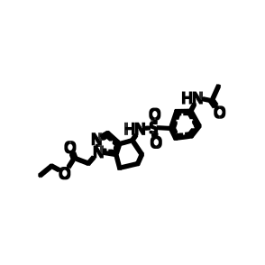 CCOC(=O)Cn1ncc2c1CCCC2NS(=O)(=O)c1cccc(NC(C)=O)c1